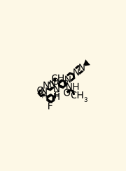 CCC(=O)Nc1cc(Nc2cc(N3OCC[C@@H]3c3cc(F)cc(F)c3)ncn2)c(OC)cc1N1CCC(N2CCN(C3CC3)CC2)CC1